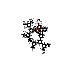 CC(C)(C)c1cc(-c2cc(-c3cc(C(C)(C)C)cc(C(C)(C)C)c3)cc(-c3ccc4c(c3)c3cc(-c5cc(-c6cc(C(C)(C)C)cc(C(C)(C)C)c6)cc(-c6cc(C(C)(C)C)cc(C(C)(C)C)c6)c5)ccc3n4-c3ccccc3-c3cc(C(F)(F)F)cc(C(F)(F)F)c3)c2)cc(C(C)(C)C)c1